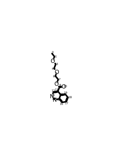 CCOCCOCCOC(=O)c1cnnc2ccccc12